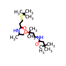 CC(COC(C)(C)CCNC(=O)CC(C)(C)C)NC(=O)CCSC(C)(C)C